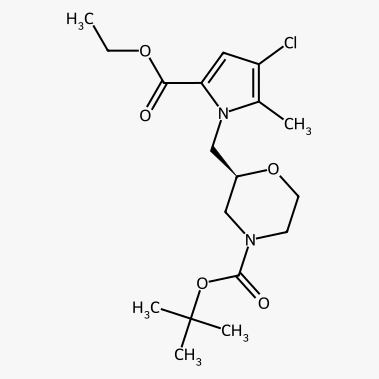 CCOC(=O)c1cc(Cl)c(C)n1C[C@@H]1CN(C(=O)OC(C)(C)C)CCO1